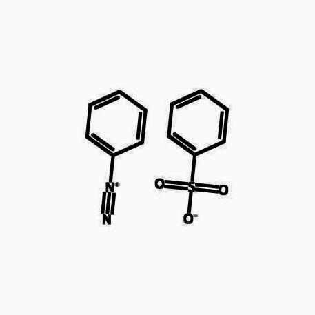 N#[N+]c1ccccc1.O=S(=O)([O-])c1ccccc1